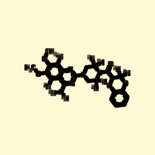 [2H]c1c(OC)c(OC)c([2H])c2c(N([2H])[2H])nc(N3CC([2H])([2H])N(C(=O)C4Oc5ccccc5OC4([2H])[2H])C([2H])([2H])C3)nc12